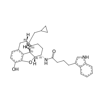 O=C(CCCc1c[nH]c2ccccc12)N[C@H]1CC[C@@]2(O)[C@H]3Cc4ccc(O)c5c4[C@@]2(CCN3CC2CC2)[C@H]1O5